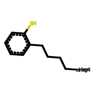 CCCCCCCCCCCc1ccccc1S